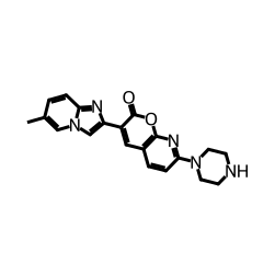 Cc1ccc2nc(-c3cc4ccc(N5CCNCC5)nc4oc3=O)cn2c1